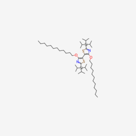 CCCCCCCCCCCCOc1nc([Si](C(C)C)(C(C)C)C(C)C)sc1-c1sc([Si](C(C)C)(C(C)C)C(C)C)nc1OCCCCCCCCCCCC